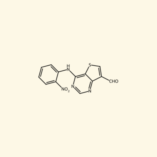 O=Cc1csc2c(Nc3ccccc3[N+](=O)[O-])ncnc12